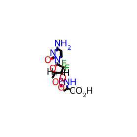 CC(NP1(=O)OC[C@H]2O[C@@H](n3ccc(N)nc3=O)C(F)(F)[C@@H]2O1)C(=O)O